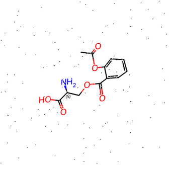 CC(=O)Oc1ccccc1C(=O)OC[C@H](N)C(=O)O